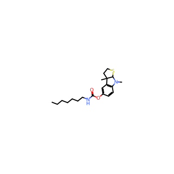 CCCCCCCNC(=O)Oc1ccc2c(c1)C1(C)CCSC1N2C